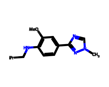 COc1cc(-c2ncn(C)n2)ccc1NCC(C)C